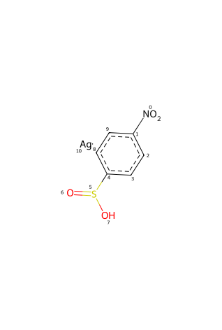 O=[N+]([O-])c1ccc(S(=O)O)cc1.[Ag]